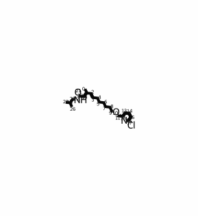 CC(C=CCCCCCCOCc1cccc(Cl)n1)=CC(=O)NCC(C)C